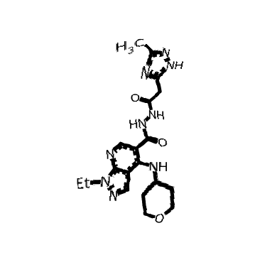 CCn1ncc2c(NC3CCOCC3)c(C(=O)NNC(=O)Cc3nc(C)n[nH]3)cnc21